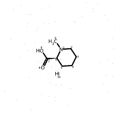 CN1CCCC[C@H]1C(=O)O.I